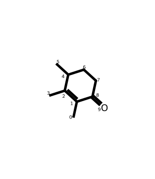 CC1=C(C)C(C)CCC1=O